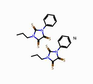 CCCN1C(=S)C(=S)N(c2ccccc2)C1=S.CCCN1C(=S)C(=S)N(c2ccccc2)C1=S.[Ni]